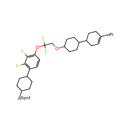 CCCCCC1CCC(c2ccc(OC(F)(F)COC3CCC(C4CC=C(CCC)CC4)CC3)c(F)c2F)CC1